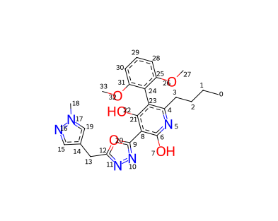 CCCCc1nc(O)c(-c2nnc(Cc3cnn(C)c3)o2)c(O)c1-c1c(OC)cccc1OC